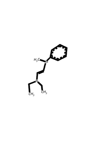 CCN(C=[CH][In]([CH3])[c]1ccccc1)CC